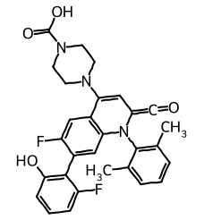 Cc1cccc(C)c1N1C(=C=O)C=C(N2CCN(C(=O)O)CC2)c2cc(F)c(-c3c(O)cccc3F)cc21